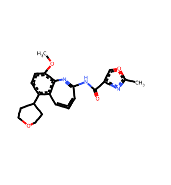 COc1ccc(C2CCOCC2)c2c1N=C(NC(=O)c1coc(C)n1)C=C=C2